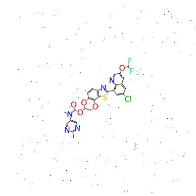 Cc1ncc(N(C)C(=O)O[C@@H]2COc3c(ccc4nc(-c5cc(Cl)cc6cc(OC(F)F)cnc56)sc34)O2)cn1